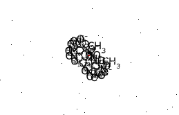 COc1c([N+](=O)[O-])c(-c2cccc(-c3c([N+](=O)[O-])c(OC)c([N+](=O)[O-])c([N+](=O)[O-])c3[N+](=O)[O-])c2)c([N+](=O)[O-])c([N+](=O)[O-])c1[N+](=O)[O-]